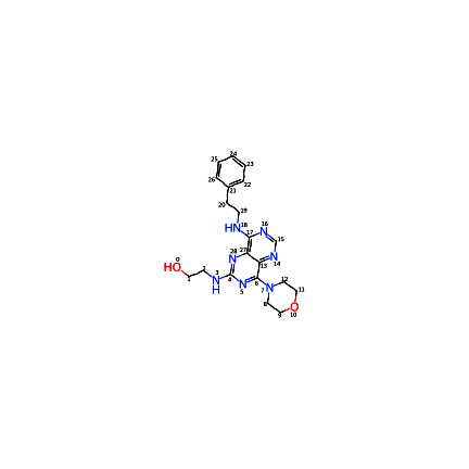 OCCNc1nc(N2CCOCC2)c2ncnc(NCCc3ccccc3)c2n1